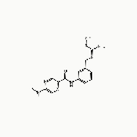 CCCS/C(N)=N\Cc1cccc(NC(=O)c2cnc(N(C)C)cn2)c1